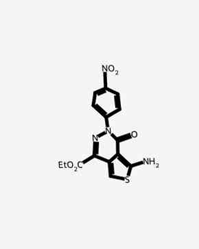 CCOC(=O)c1nn(-c2ccc([N+](=O)[O-])cc2)c(=O)c2c(N)scc12